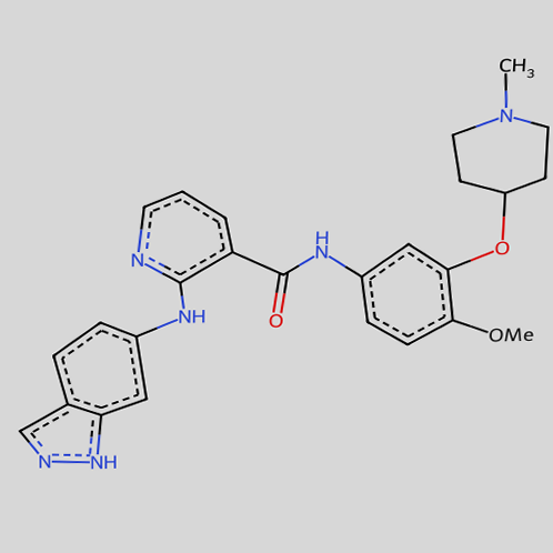 COc1ccc(NC(=O)c2cccnc2Nc2ccc3cn[nH]c3c2)cc1OC1CCN(C)CC1